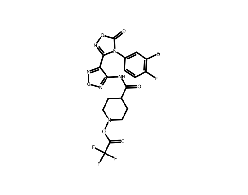 O=C(Nc1nonc1-c1noc(=O)n1-c1ccc(F)c(Br)c1)C1CCN(OC(=O)C(F)(F)F)CC1